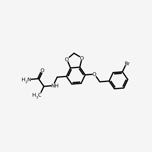 CC(NCc1ccc(OCc2cccc(Br)c2)c2c1OCO2)C(N)=O